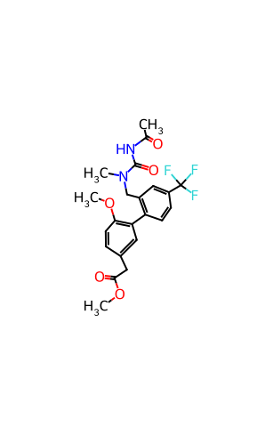 COC(=O)Cc1ccc(OC)c(-c2ccc(C(F)(F)F)cc2CN(C)C(=O)NC(C)=O)c1